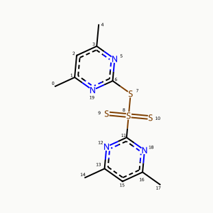 Cc1cc(C)nc(SS(=S)(=S)c2nc(C)cc(C)n2)n1